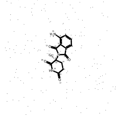 [2H][C@]1(N2C(=O)c3cccc(N)c3C2=O)CCC(=O)NC1=O